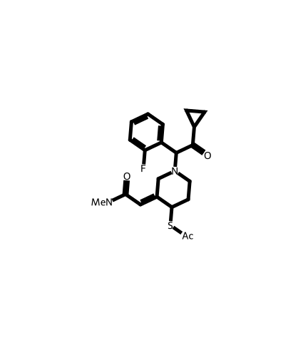 CNC(=O)C=C1CN(C(C(=O)C2CC2)c2ccccc2F)CCC1SC(C)=O